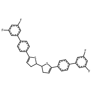 Fc1cc(F)cc(-c2ccc(C3=CCC(C4CC=C(c5ccc(-c6cc(F)cc(F)c6)cc5)S4)S3)cc2)c1